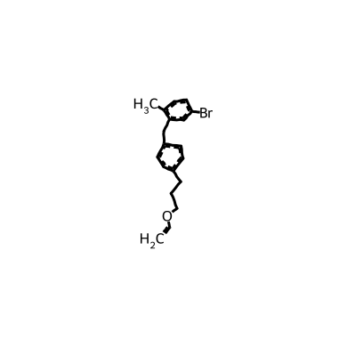 C=COCCCc1ccc(Cc2cc(Br)ccc2C)cc1